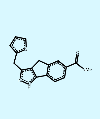 CNC(=O)c1ccc2c(c1)Cc1c(Cc3cccs3)n[nH]c1-2